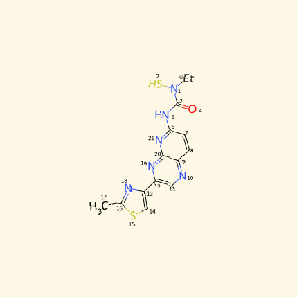 CCN(S)C(=O)Nc1ccc2ncc(-c3csc(C)n3)nc2n1